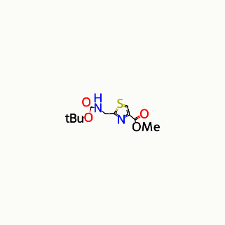 COC(=O)c1csc(CNC(=O)OC(C)(C)C)n1